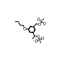 CCCCOc1cc(COS(C)(=O)=O)cc(C(C)OS(C)(=O)=O)c1